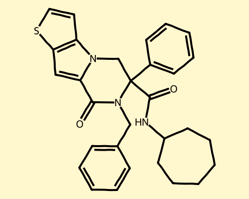 O=C1c2cc3sccc3n2CC(C(=O)NC2CCCCCC2)(c2ccccc2)N1Cc1ccccc1